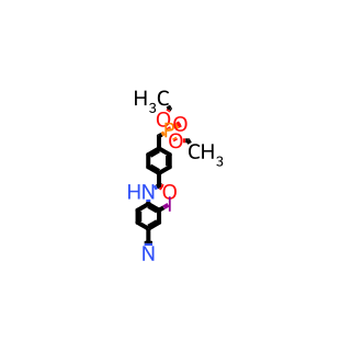 CCOP(=O)(Cc1ccc(C(=O)Nc2ccc(C#N)cc2I)cc1)OCC